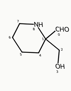 O=CC1(CO)CCCCN1